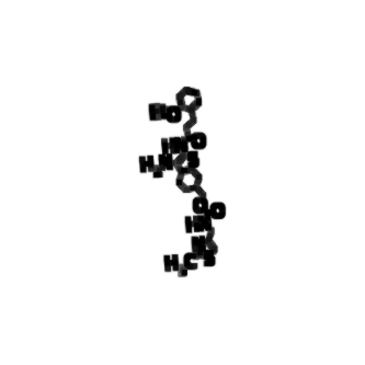 CCOc1ccccc1CCC(=O)Nc1sc2c(c1N)CCC(COC(=O)NCc1csc(C)n1)C2